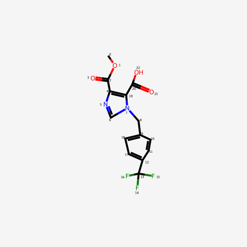 COC(=O)c1ncn(Cc2ccc(C(F)(F)F)cc2)c1C(=O)O